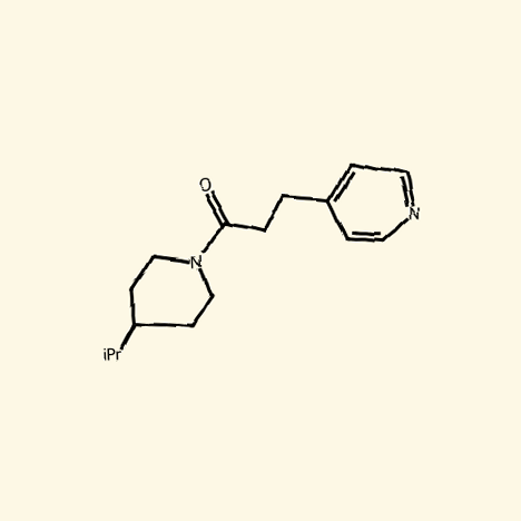 CC(C)C1CCN(C(=O)CCc2ccncc2)CC1